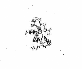 CC(Cn1cnc2c(N)ncnc21)OCc1ccccc1O[PH](=O)O